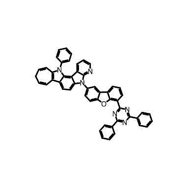 C1=Cc2c(n(-c3ccccc3)c3c2ccc2c3c3cccnc3n2-c2ccc3oc4c(-c5nc(-c6ccccc6)nc(-c6ccccc6)n5)cccc4c3c2)C=CC1